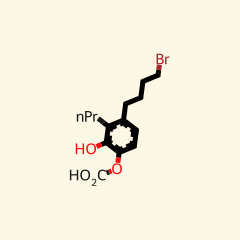 CCCc1c(CCCCBr)ccc(OC(=O)O)c1O